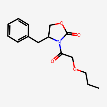 CCCOCC(=O)N1C(=O)OCC1Cc1ccccc1